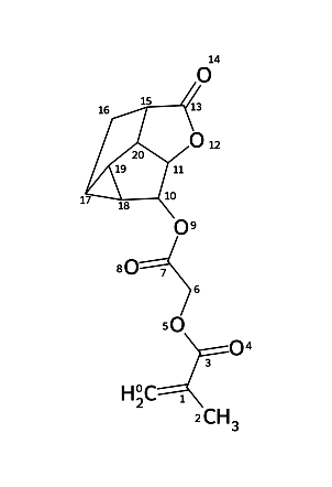 C=C(C)C(=O)OCC(=O)OC1C2OC(=O)C3CC4C1C4C32